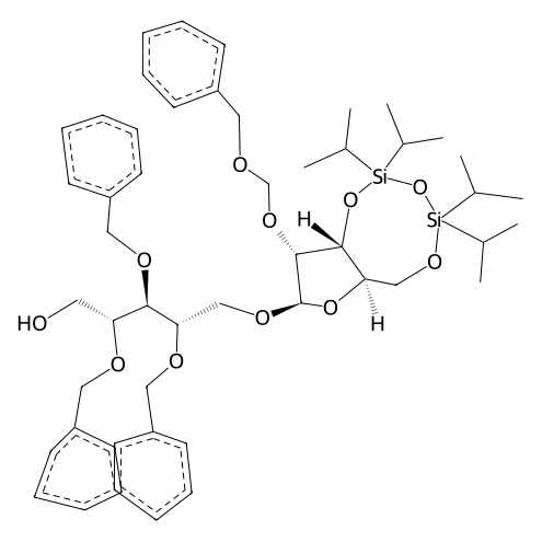 CC(C)[Si]1(C(C)C)OC[C@H]2O[C@@H](OC[C@H](OCc3ccccc3)[C@H](OCc3ccccc3)[C@@H](CO)OCc3ccccc3)[C@H](OCOCc3ccccc3)[C@@H]2O[Si](C(C)C)(C(C)C)O1